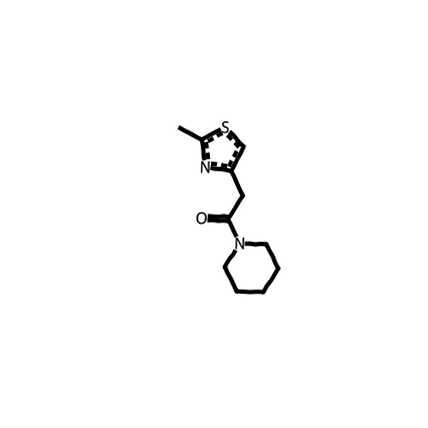 Cc1nc(CC(=O)N2CCCCC2)cs1